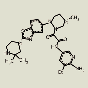 CCc1cc(NC(=O)C(=O)N2C[C@@H](C)CC[C@@H]2c2ccc3sc([C@H]4CCNC(C)(C)C4)nc3c2)cnc1N